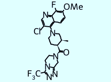 COc1ccc2c(N3CC[C@H](C(=O)N4CCn5c(nnc5C(F)(F)F)C4)[C@H](C)C3)c(Cl)cnc2c1F